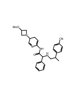 COC1CN(C2C=NC(NC(=O)C(NCC(C)c3ccc(C#N)cc3)c3ccccc3)=CC2)C1